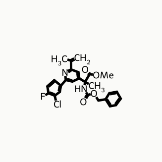 C=C(C)c1cc(C(C)(NC(=O)OCc2ccccc2)C(=O)OC)cc(-c2ccc(F)c(Cl)c2)n1